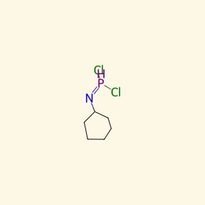 Cl[PH](Cl)=NC1CCCCC1